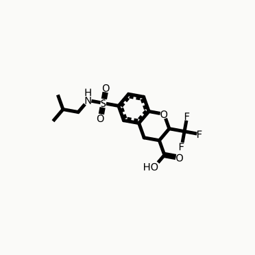 CC(C)CNS(=O)(=O)c1ccc2c(c1)CC(C(=O)O)C(C(F)(F)F)O2